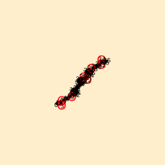 C=CC(=O)OCCCCOc1ccc(C#Cc2ccc(OC(=O)c3ccc(OCCCCOC(=O)C=C)cc3)cc2)cc1